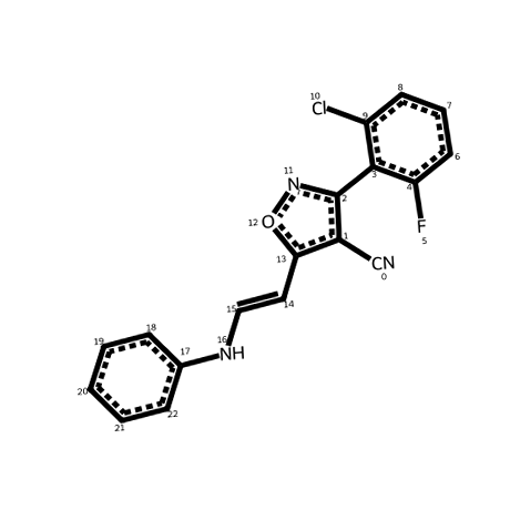 N#Cc1c(-c2c(F)cccc2Cl)noc1C=CNc1ccccc1